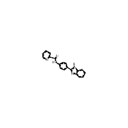 O=C(Nc1ccc(-c2nc3ccccc3[nH]2)cc1)c1ccccn1